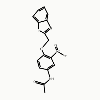 CC(=O)Nc1ccc(OCc2nc3ccccc3s2)c([N+](=O)[O-])c1